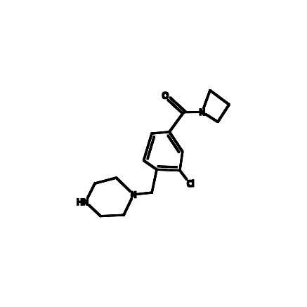 O=C(c1ccc(CN2CCNCC2)c(Cl)c1)N1CCC1